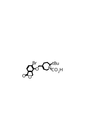 CC(C)(C)C1CCC(COc2c(Br)ccc3c2COC3=O)=CCN1C(=O)O